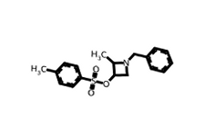 Cc1ccc(S(=O)(=O)OC2CN(Cc3ccccc3)C2C)cc1